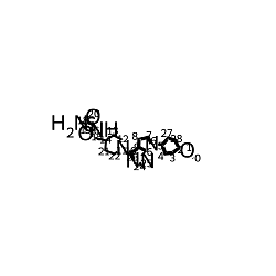 COc1ccc(-n2ccc3c(N4CCC(CNS(N)(=O)=O)CC4)ncnc32)cc1